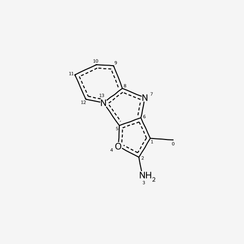 Cc1c(N)oc2c1nc1ccccn12